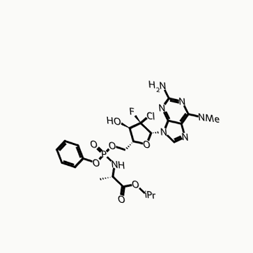 CNc1nc(N)nc2c1ncn2[C@@H]1O[C@H](COP(=O)(N[C@@H](C)C(=O)OC(C)C)Oc2ccccc2)[C@@H](O)[C@]1(F)Cl